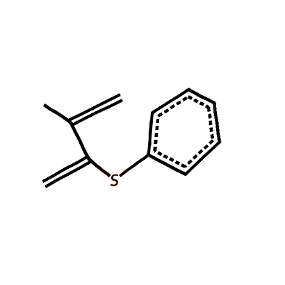 C=C(C)C(=C)Sc1ccccc1